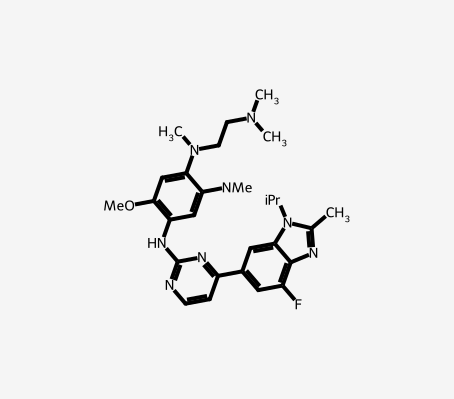 CNc1cc(Nc2nccc(-c3cc(F)c4nc(C)n(C(C)C)c4c3)n2)c(OC)cc1N(C)CCN(C)C